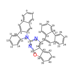 c1ccc2cc3c(cc2c1)c1ccccc1n3-c1nc(-c2cc3ccccc3c3ccccc23)c2c(n1)oc1ccccc12